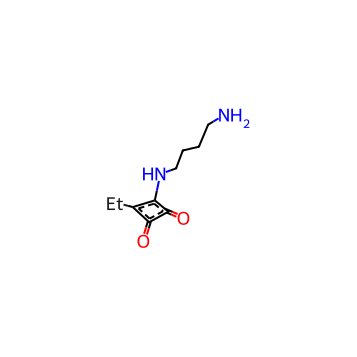 CCc1c(NCCCCN)c(=O)c1=O